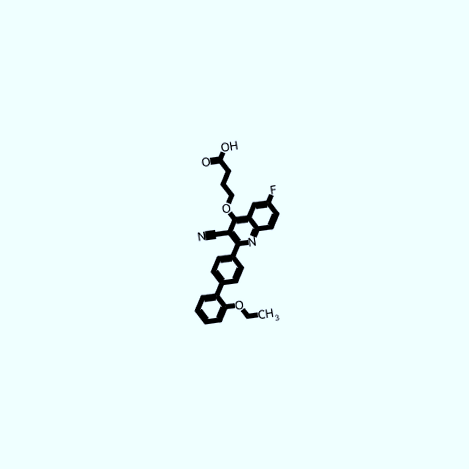 CCOc1ccccc1-c1ccc(-c2nc3ccc(F)cc3c(OCCCC(=O)O)c2C#N)cc1